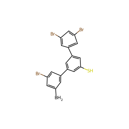 Bc1cc(Br)cc(-c2cc(S)cc(-c3cc(Br)cc(Br)c3)c2)c1